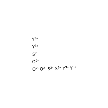 [O-2].[O-2].[O-2].[S-2].[S-2].[S-2].[Y+3].[Y+3].[Y+3].[Y+3]